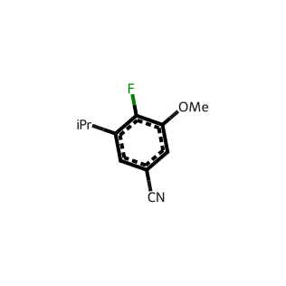 COc1cc(C#N)cc(C(C)C)c1F